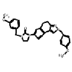 COc1ccc(Cn2cc3c(n2)CCc2cc(N4CCN(Cc5cccc(OC)c5)C4=O)ccc2-3)cc1